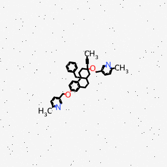 CC#CC1(OCc2ccc(C)nc2)CCC2(Cc3ccccc3)c3ccc(OCc4ccc(C)nc4)cc3CCC2C1